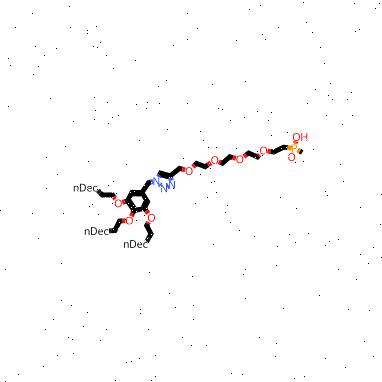 CCCCCCCCCCCCOc1cc(Cn2cc(COCCOCCOCCOCCP(C)(=O)O)nn2)cc(OCCCCCCCCCCCC)c1OCCCCCCCCCCCC